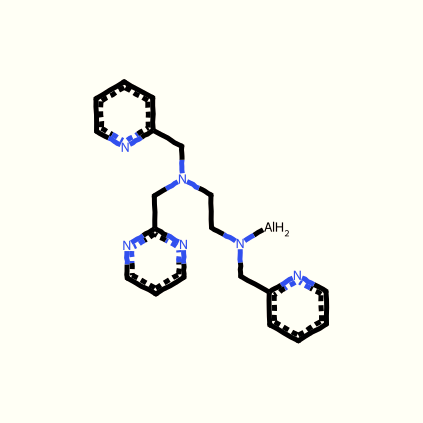 [AlH2][N](CCN(Cc1ccccn1)Cc1ncccn1)Cc1ccccn1